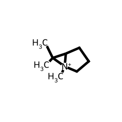 CC1(C)C2CCC[N+]21C